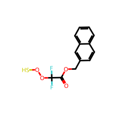 O=C(OCc1ccc2ccccc2c1)C(F)(F)OOS